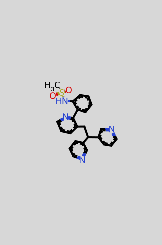 CS(=O)(=O)Nc1ccccc1-c1ncccc1CC(c1cccnc1)c1cccnc1